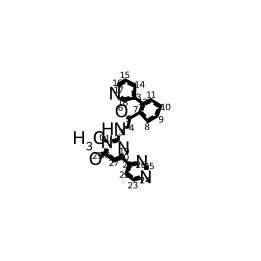 Cn1c(NCC(=O)c2ccccc2-c2cccnc2)nc(-c2ccncn2)cc1=O